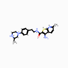 Cc1ccc2c(N)c(C(=O)NCCc3ccc(N4CCNC(C)C4)cc3)sc2n1